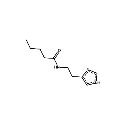 [CH2]CCCC(=O)NCCc1c[nH]cn1